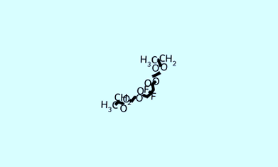 C=C(C)C(=O)OCCOC(=O)CC(F)(F)CC(=O)OCCOC(=O)C(=C)C